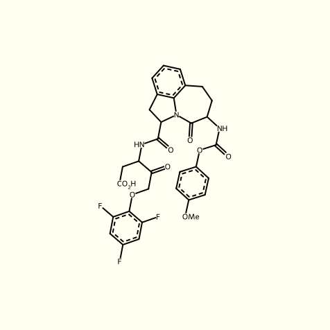 COc1ccc(OC(=O)NC2CCc3cccc4c3N(C2=O)C(C(=O)NC(CC(=O)O)C(=O)COc2c(F)cc(F)cc2F)C4)cc1